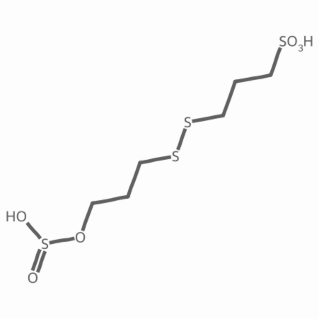 O=S(O)OCCCSSCCCS(=O)(=O)O